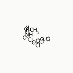 CCn1nccc1CNC(=O)C1CCC(Oc2ccc3c(c2Cl)CCC(c2ccccc2)O3)CC1